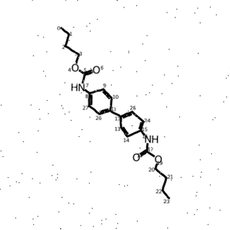 CCCCOC(=O)Nc1ccc(-c2ccc(NC(=O)OCCCC)cc2)cc1